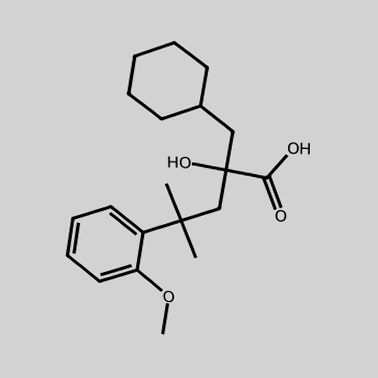 COc1ccccc1C(C)(C)CC(O)(CC1CCCCC1)C(=O)O